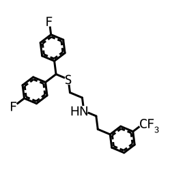 Fc1ccc(C(SCCNCCc2cccc(C(F)(F)F)c2)c2ccc(F)cc2)cc1